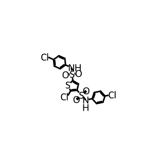 O=S(=O)(Nc1ccc(Cl)cc1)c1cc(S(=O)(=O)Nc2ccc(Cl)cc2)c(Cl)s1